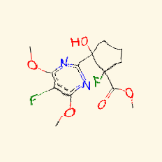 COC(=O)C1(F)CCCC1(O)c1nc(OC)c(F)c(OC)n1